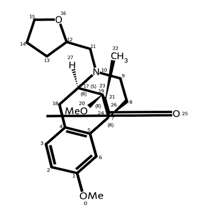 COc1ccc2c(c1)[C@]13CCN(CC4CCCO4)[C@H](C2)[C@]1(OC)[C@H](C)CC(=O)C3